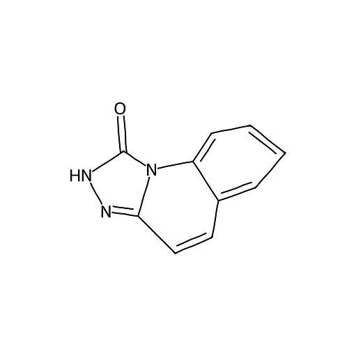 O=c1[nH]nc2ccc3ccccc3n12